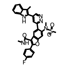 CNC(=O)c1c(-c2ccc(F)cc2)oc2cc(N(C)S(C)(=O)=O)c(-c3cc(-c4[nH]c5ccccc5c4C)cnn3)cc12